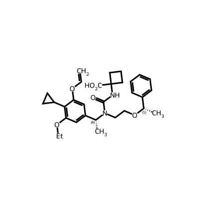 C=COc1cc([C@@H](C)N(CCO[C@@H](C)c2ccccc2)C(=O)NC2(C(=O)O)CCC2)cc(OCC)c1C1CC1